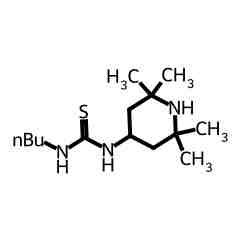 CCCCNC(=S)NC1CC(C)(C)NC(C)(C)C1